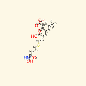 CC(C)(C)c1cc(CC(CCSCCCC(=O)NO)C(=O)O)cc(C(=O)O)c1